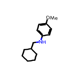 COc1ccc(NCC2CCCCC2)cc1